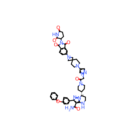 NC(=O)c1c(-c2ccc(Oc3ccccc3)cc2)nn2c1NCC[C@H]2C1CCN(C(=O)Cn2cc(N3CCC4(CC3)CN(c3ccc5c(c3)C(=O)N(C3CCC(=O)NC3=O)C5=O)C4)cn2)CC1